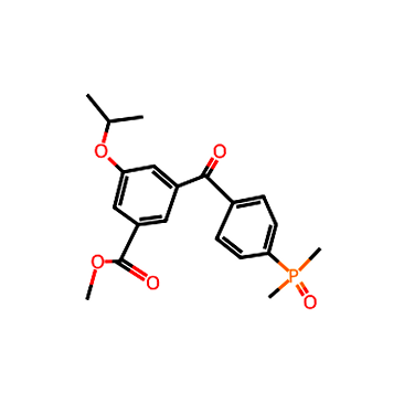 COC(=O)c1cc(OC(C)C)cc(C(=O)c2ccc(P(C)(C)=O)cc2)c1